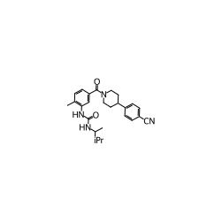 Cc1ccc(C(=O)N2CCC(c3ccc(C#N)cc3)CC2)cc1NC(=O)NC(C)C(C)C